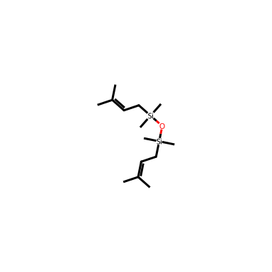 CC(C)=CC[Si](C)(C)O[Si](C)(C)CC=C(C)C